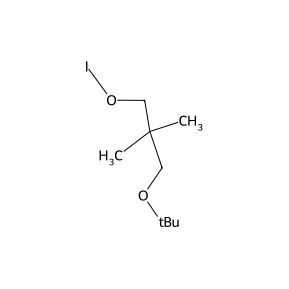 CC(C)(COI)COC(C)(C)C